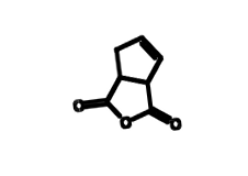 O=C1OC(=O)C2CC=CC12